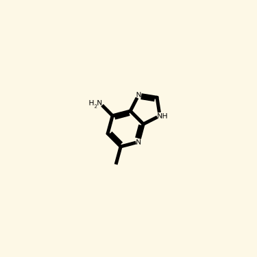 Cc1cc(N)c2nc[nH]c2n1